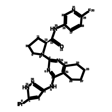 CC(C)c1cc(Nc2nc(N3CCC[C@@H]3C(=O)Nc3ccc(F)nc3)nc3c2CCCC3)n[nH]1